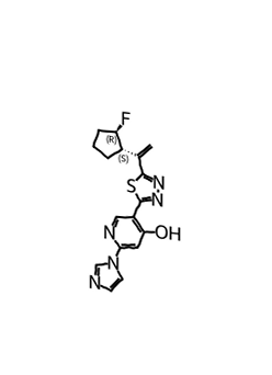 C=C(c1nnc(-c2cnc(-n3ccnc3)cc2O)s1)[C@@H]1CCC[C@H]1F